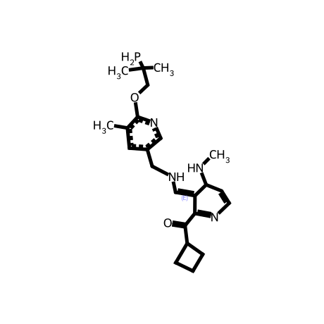 CNC1C=CN=C(C(=O)C2CCC2)/C1=C/NCc1cnc(OCC(C)(C)P)c(C)c1